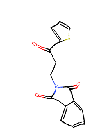 O=C(CCN1C(=O)c2ccccc2C1=O)c1cccs1